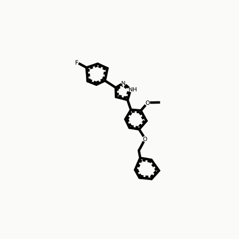 COc1cc(OCc2ccccc2)ccc1-c1cc(-c2ccc(F)cc2)n[nH]1